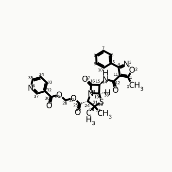 Cc1onc(-c2ccccc2)c1C(=O)N[C@@H]1C(=O)N2[C@@H]1SC(C)(C)[C@@H]2C(=O)OCOC(=O)c1cccnc1